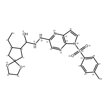 CCC1CC2(CC1C(O)NNc1cnc3c(ccn3S(=O)(=O)c3ccc(C)cc3)n1)OCCO2